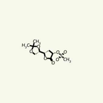 CC1(C)OC[C@@H]([C@@H]2C[C@H](OS(C)(=O)=O)C(=O)O2)O1